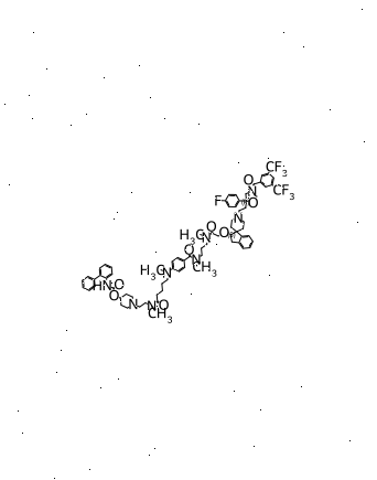 CN(CCN1CCC(OC(=O)Nc2ccccc2-c2ccccc2)CC1)C(=O)CCCCN(C)c1ccc(C(=O)N(C)CCCN(C)C(=O)CO[C@H]2Cc3ccccc3C23CCN(CC[C@@]2(c4ccc(F)cc4)CN(C(=O)c4cc(C(F)(F)F)cc(C(F)(F)F)c4)CO2)CC3)cc1